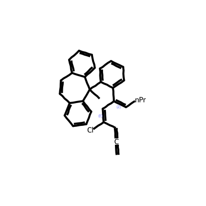 C=C=C/C(Cl)=C\C(=C\CCC)c1ccccc1C1(C)c2ccccc2C=Cc2ccccc21